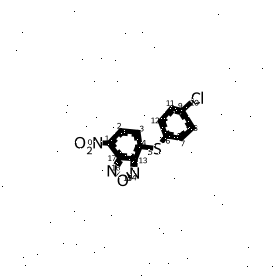 O=[N+]([O-])c1ccc(Sc2ccc(Cl)cc2)c2nonc12